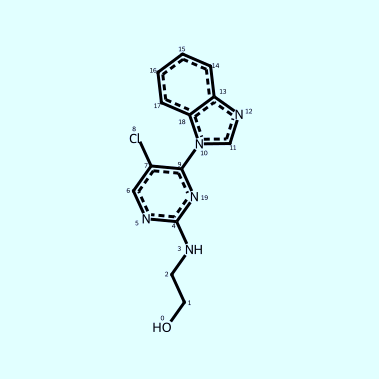 OCCNc1ncc(Cl)c(-n2cnc3ccccc32)n1